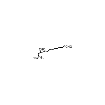 CCCCC(CC)CC(C=O)CCCCCCCCCCC=O